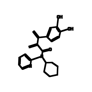 C=C(C(=C)c1ccc(O)c(O)c1)C(=O)N(c1ccccn1)C1CCCCC1